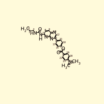 C=CCNC(=O)Nc1ccc2ncc(-c3ccc(OC(=O)c4ccc(N(C)C)cc4)cc3)nc2n1